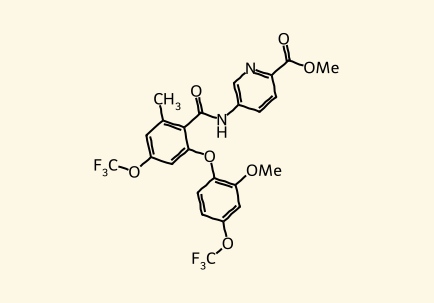 COC(=O)c1ccc(NC(=O)c2c(C)cc(OC(F)(F)F)cc2Oc2ccc(OC(F)(F)F)cc2OC)cn1